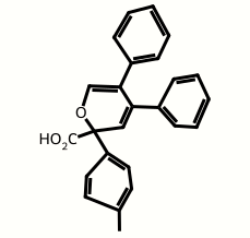 Cc1ccc(C2(C(=O)O)C=C(c3ccccc3)C(c3ccccc3)=CO2)cc1